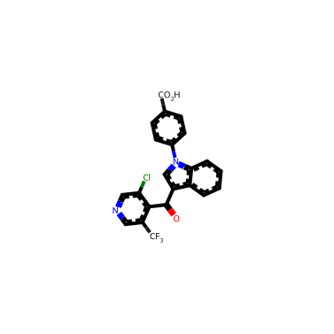 O=C(O)c1ccc(-n2cc(C(=O)c3c(Cl)cncc3C(F)(F)F)c3ccccc32)cc1